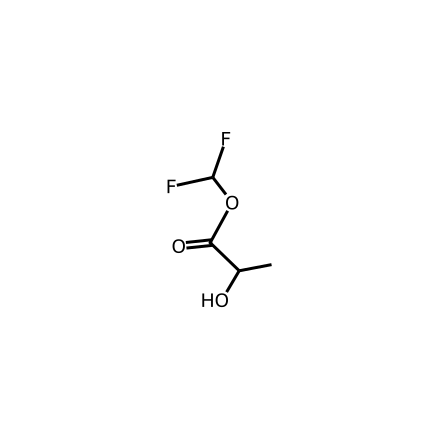 CC(O)C(=O)OC(F)F